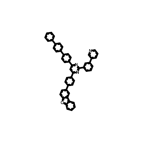 c1ccc(-c2ccc(-c3ccc(-c4cc(-c5ccc(-c6ccc7oc8ccccc8c7c6)cc5)nc(-c5cccc(-c6cccnc6)c5)n4)cc3)cc2)cc1